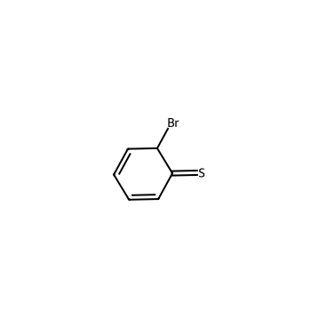 S=C1C=CC=CC1Br